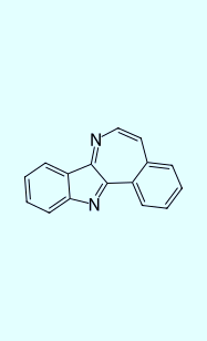 c1ccc2c3nc4ccccc4c-3nccc2c1